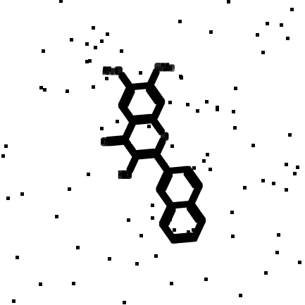 COc1cc2oc(-c3ccc4ccccc4c3)c(O)c(=O)c2cc1OC